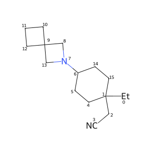 CCC1(CC#N)CCC(N2CC3(CCC3)C2)CC1